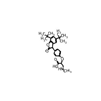 CNCC(Oc1ccc(C2C(=O)Oc3c2cc(C(C)(C)C)cc3C(C)(C)C)cc1)C(=O)O